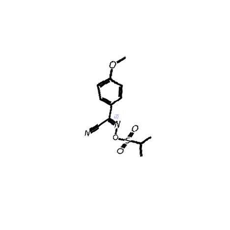 COc1ccc(/C(C#N)=N/OS(=O)(=O)C(C)C)cc1